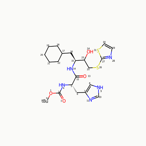 CC(C)(C)OC(=O)N[C@@H](Cc1c[nH]cn1)C(=O)N[C@@H](CC1CCCCC1)C(O)CSc1nccs1